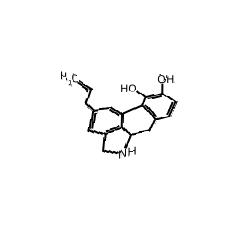 C=CCc1cc2c3c(c1)-c1c(ccc(O)c1O)CC3NC2